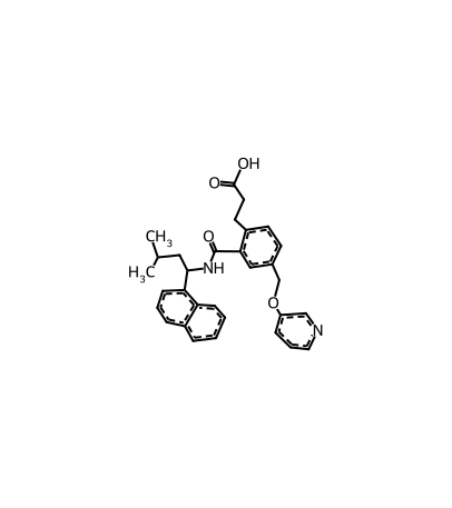 CC(C)CC(NC(=O)c1cc(COc2cccnc2)ccc1CCC(=O)O)c1cccc2ccccc12